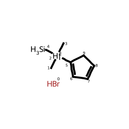 Br.[CH3][Hf]([CH3])([SiH3])[C]1=CC=CC1